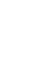 CCCCC(Cc1ccc(Cl)cc1)CC1(OC(=O)OCC)CO1